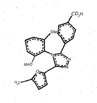 COc1cccc(OC)c1-n1c(-c2ccc(C(=O)O)cc2)nnc1-c1ccc(C)o1